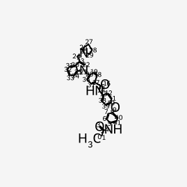 CCC(=O)Nc1ccc(Oc2ccc(NC(=O)c3ccc(-n4cc(CN5CCCC5)c5ccccc54)cc3)cc2)cc1